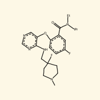 CCN(C(=O)c1cc(F)ccc1Oc1cncnc1NCC1(F)CCN(C)CC1)C(C)C